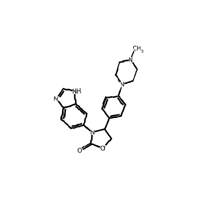 CN1CCN(c2ccc(C3COC(=O)N3c3ccc4nc[nH]c4c3)cc2)CC1